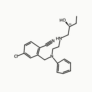 CC[C@H](O)CNCCN(Cc1cc(Cl)ccc1C#N)c1ccccc1